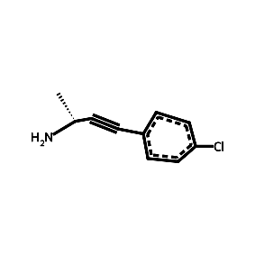 C[C@@H](N)C#Cc1ccc(Cl)cc1